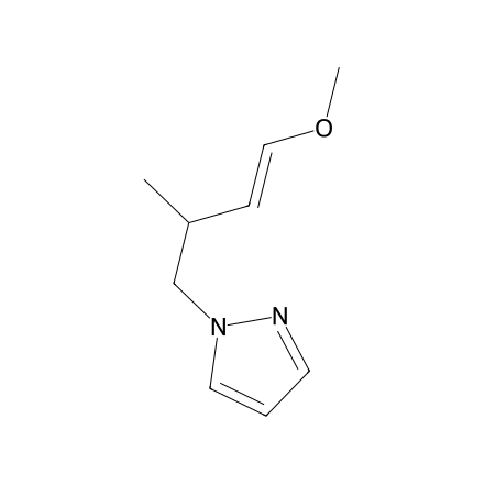 CO/C=C/C(C)Cn1cccn1